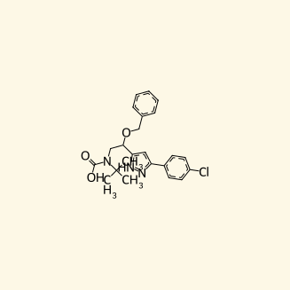 CC(C)(C)N(CC(OCc1ccccc1)c1cc(-c2ccc(Cl)cc2)n[nH]1)C(=O)O